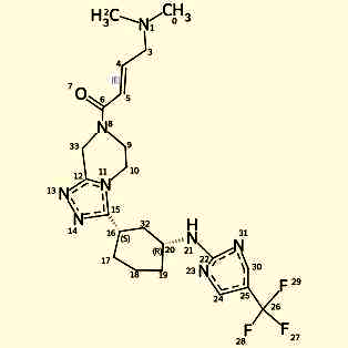 CN(C)C/C=C/C(=O)N1CCn2c(nnc2[C@H]2CCC[C@@H](Nc3ncc(C(F)(F)F)cn3)C2)C1